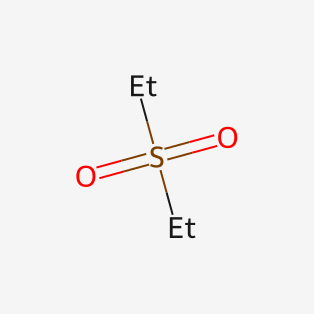 [CH2]CS(=O)(=O)C[CH2]